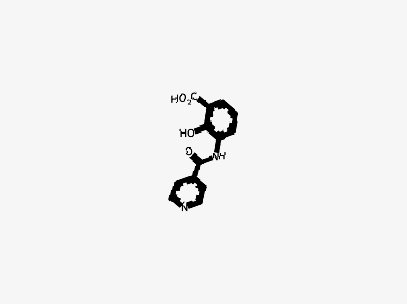 O=C(Nc1cccc(C(=O)O)c1O)c1ccncc1